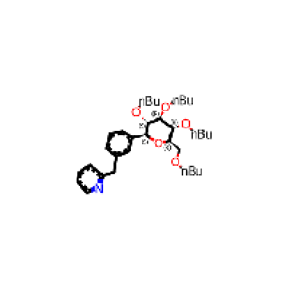 CCCCOC[C@H]1O[C@@H](c2cccc(Cc3ccccn3)c2)[C@H](OCCCC)[C@@H](OCCCC)[C@@H]1OCCCC